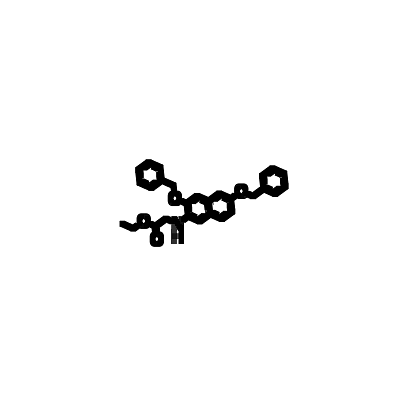 CCOC(=O)CNc1cc2ccc(OCc3ccccc3)cc2cc1OCc1ccccc1